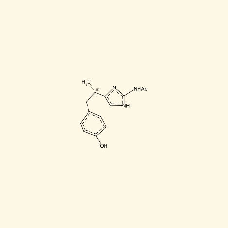 CC(=O)Nc1nc([C@@H](C)Cc2ccc(O)cc2)c[nH]1